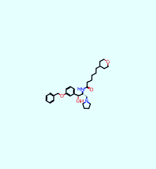 O=C(CCCCCC1CCOCC1)N[C@H](CN1CCCC1)[C@@H](O)c1cccc(OCc2ccccc2)c1